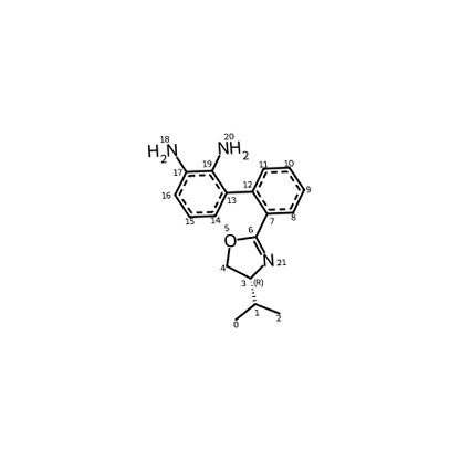 CC(C)[C@@H]1COC(c2ccccc2-c2cccc(N)c2N)=N1